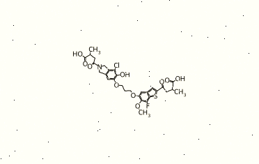 COc1c(OCCCOc2cc3c(c(Cl)c2O)CN(C(=O)CC(C)C(=O)O)C3)cc2cc(C(=O)CC(C)C(=O)O)sc2c1F